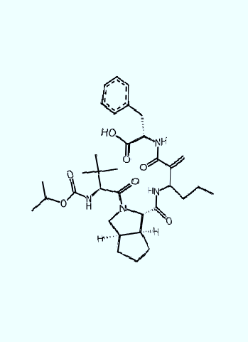 C=C(C(=O)N[C@@H](Cc1ccccc1)C(=O)O)C(CCC)NC(=O)[C@@H]1[C@H]2CCC[C@H]2CN1C(=O)[C@@H](NC(=O)OC(C)C)C(C)(C)C